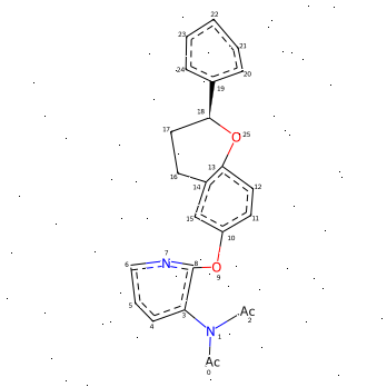 CC(=O)N(C(C)=O)c1cccnc1Oc1ccc2c(c1)CC[C@@H](c1ccccc1)O2